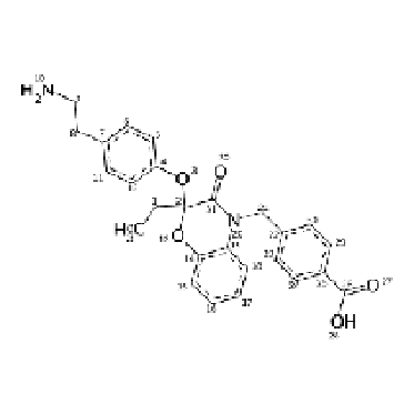 CCC1(Oc2ccc(CCN)cc2)Oc2ccccc2N(Cc2ccc(C(=O)O)cc2)C1=O